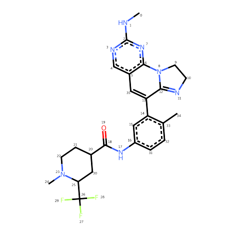 CNc1ncc2c(n1)N1CCN=C1C(c1cc(NC(=O)C3CCN(C)C(C(F)(F)F)C3)ccc1C)=C2